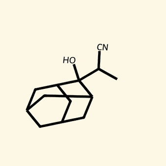 CC(C#N)C1(O)C2CC3CC(C2)CC1C3